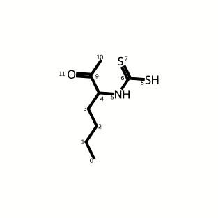 CCCCC(NC(=S)S)C(C)=O